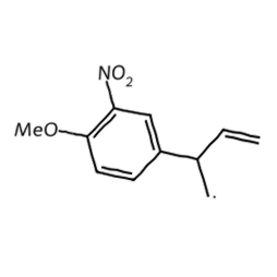 [CH2]C(C=C)c1ccc(OC)c([N+](=O)[O-])c1